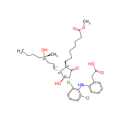 CCCC[C@](C)(O)C/C=C/[C@H]1[C@H](O)CC(=O)[C@@H]1CCCCCCC(=O)OC.O=C(O)Cc1ccccc1Nc1c(Cl)cccc1Cl